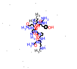 CCC(C)C(NC(=O)C(Cc1ccc(O)cc1)NC(=O)CN)C(=O)NC(CCC(N)=O)C(=O)NC(CC(N)=O)C(=O)NCC(=O)N1CCCC1C(=O)NC(CCCCNC)C(=O)NCC(N)=O